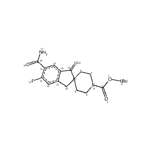 CC(C)(C)OC(=O)N1CCC2(CC1)Cc1cc(F)c(C(N)=O)cc1C2=O